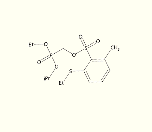 CCOP(=O)(COS(=O)(=O)c1c(C)cccc1SCC)OC(C)C